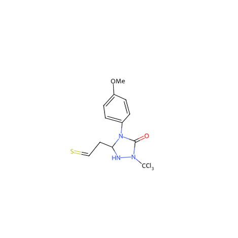 COc1ccc(N2C(=O)N(C(Cl)(Cl)Cl)NC2CC=S)cc1